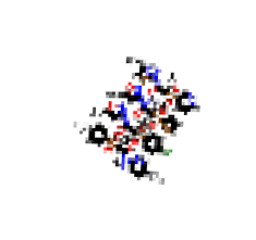 CC(C)(C(=O)Nc1ccc(C(F)(F)F)cn1)S(=O)(=O)c1ccc(C(F)(F)F)cc1.CC(C)(C)c1cc(NC(=O)C(C)(C)S(=O)(=O)c2ccc(Br)cc2)no1.CC(C)(C)c1cc(NC(=O)C(C)(C)S(=O)(=O)c2cccs2)no1.CC(C)(C)c1csc(NC(=O)C(C)(C)S(=O)(=O)c2cccnc2)n1